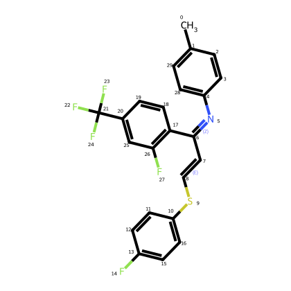 Cc1ccc(/N=C(/C=C/Sc2ccc(F)cc2)c2ccc(C(F)(F)F)cc2F)cc1